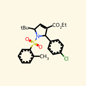 CCOC(=O)C1=CC(C(C)(C)C)N(S(=O)(=O)c2ccccc2C)C1c1ccc(Cl)cc1